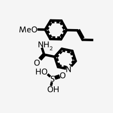 CC=Cc1ccc(OC)cc1.NC(=O)c1cccnc1.O=S(O)O